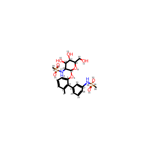 Cc1cccc(O[C@@H]2OC(CO)[C@H](O)C(O)C2NS(C)(=O)=O)c1-c1cccc(NS(C)(=O)=O)c1